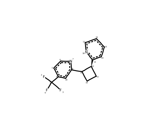 FC(F)(F)c1ccnc([C]2CC[C@@H]2c2ccccn2)c1